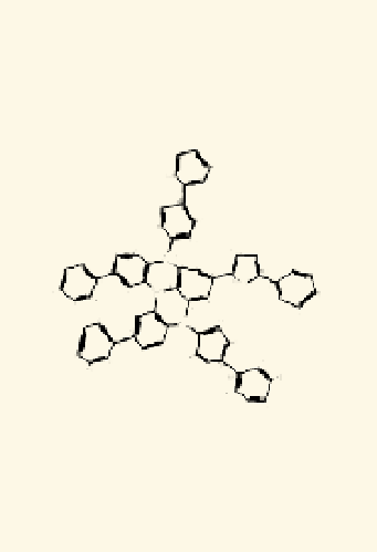 c1ccc(-c2ccc(N3c4ccc(-c5ccccc5)cc4B4c5cc(-c6ccccc6)ccc5N(c5ccc(-c6ccccc6)cc5)c5cc(-c6ccc(-c7ccccc7)o6)cc3c54)cc2)cc1